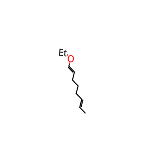 CC=CCCCC=COCC